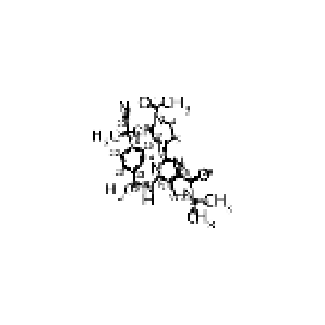 CC(=O)N1CCN(c2nc(N[C@H](C)c3ccc(C(C)(C)C#N)cc3)c3c(n2)C(=O)N(C(C)C)C3)CC1